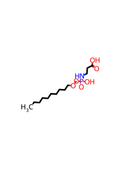 CCCCCCCCCCOOP(=O)(O)NCCC(=O)O